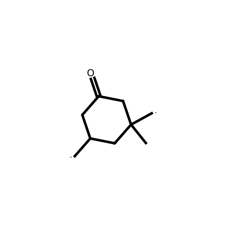 [CH2]C1CC(=O)CC([CH2])(C)C1